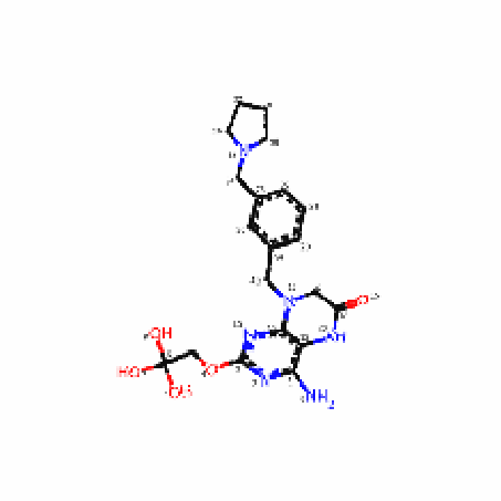 Nc1nc(OCC(O)(O)O)nc2c1NC(=O)CN2Cc1cccc(CN2CCCC2)c1